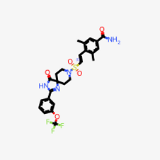 Cc1cc(C(N)=O)cc(C)c1/C=C/S(=O)(=O)N1CCC2(CC1)N=C(c1cccc(OC(F)(F)F)c1)NC2=O